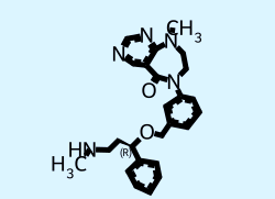 CNCC[C@@H](OCc1cccc(N2CCN(C)c3ncncc3C2=O)c1)c1ccccc1